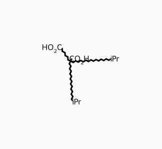 CC(C)CCCCCCCCCCCCCCCC(CCCCCCCCCCCCCCCC(C)C)(CCCCCCC(=O)O)C(=O)O